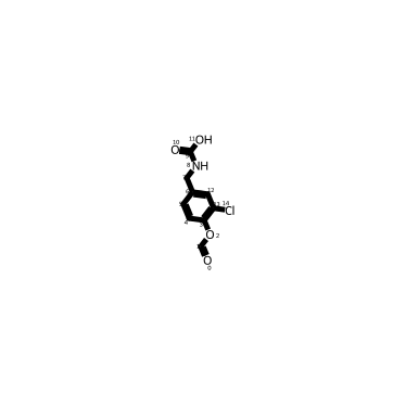 O=COc1ccc(CNC(=O)O)cc1Cl